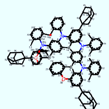 Cc1ccccc1N1c2cc3c(cc2B2c4cc5c(cc4N(c4c(C)cccc4C)c4cc(C67CC8CC(CC(C8)C6)C7)cc1c42)N(c1c(C)cccc1C)c1cc(C24CC6CC(CC(C6)C2)C4)cc2c1B5c1ccccc1O2)B1c2ccccc2Oc2cc(C45CC6CC(CC(C6)C4)C5)cc(c21)N3c1c(C)cccc1C